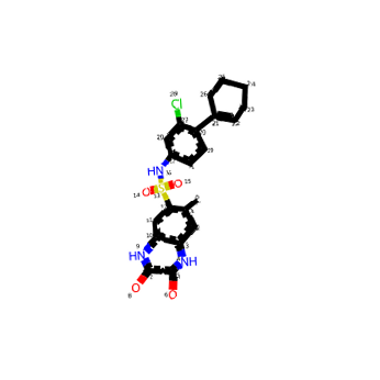 Cc1cc2[nH]c(=O)c(=O)[nH]c2cc1S(=O)(=O)Nc1ccc(C2=CCCCC2)c(Cl)c1